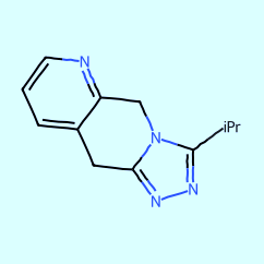 CC(C)c1nnc2n1Cc1ncccc1C2